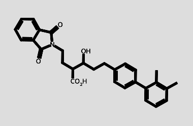 Cc1cccc(-c2ccc(CCC(O)C(CCN3C(=O)c4ccccc4C3=O)C(=O)O)cc2)c1C